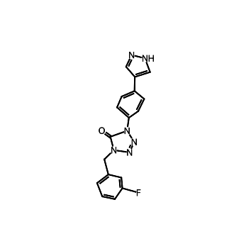 O=c1n(Cc2cccc(F)c2)nnn1-c1ccc(-c2cn[nH]c2)cc1